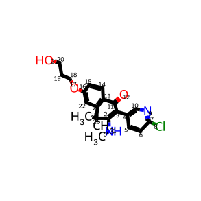 CNC1=C(c2ccc(Cl)nc2)C(=O)c2ccc(OCCCO)cc2C1(C)C